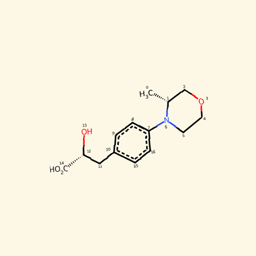 C[C@@H]1COCCN1c1ccc(C[C@@H](O)C(=O)O)cc1